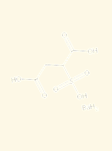 O=C(O)CC(C(=O)O)S(=O)(=O)O.[BaH2]